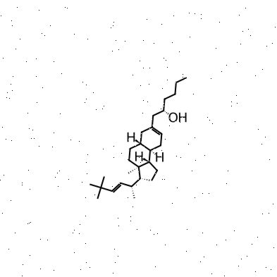 CCCC[C@H](O)CC1=CC[C@@H]2[C@H](CC[C@]3(C)[C@@H]([C@H](C)/C=C/C(C)(C)C)CC[C@@H]23)C1